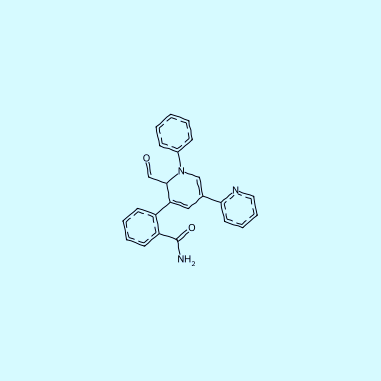 NC(=O)c1ccccc1C1=CC(c2ccccn2)=CN(c2ccccc2)C1C=O